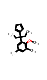 CCC(CC)(C1=CCC=C1)c1cc(C)cc(C)c1OC